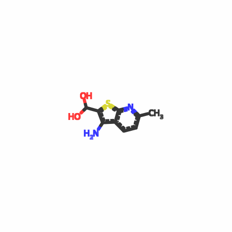 Cc1ccc2c(N)c(C(O)O)sc2n1